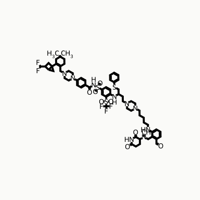 CN(Cc1c(C=O)cccc1NCCCCCN1CCN(CCC(CSc2ccccc2)Nc2ccc(S(=O)(=O)NC(=O)c3ccc(N4CCN(CC5=C(C67CC(C(F)F)C6C7)CC(C)(C)CC5)CC4)cc3)cc2S(=O)(=O)C(F)(F)F)CC1)C1CCC(=O)NC1=O